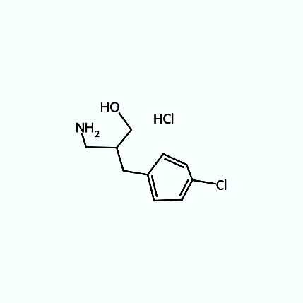 Cl.NCC(CO)Cc1ccc(Cl)cc1